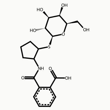 O=C(O)c1ccccc1C(=O)NC1CCCC1S[C@@H]1O[C@H](CO)[C@H](O)[C@H](O)[C@H]1O